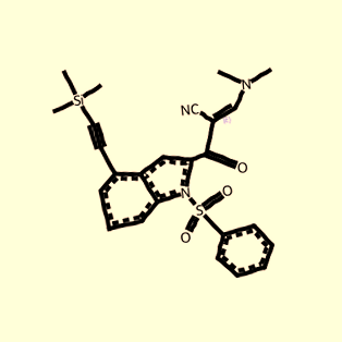 CN(C)/C=C(\C#N)C(=O)c1cc2c(C#C[Si](C)(C)C)cccc2n1S(=O)(=O)c1ccccc1